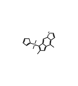 CC1=C([Si](C)(C)C2=CC=CC2)C2=CC3SC=CC3=C(C)C2=C1